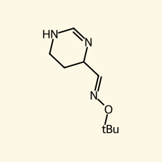 CC(C)(C)ON=CC1CCNC=N1